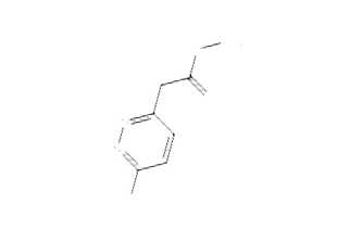 COC(=S)Cc1ccc(Cl)nn1